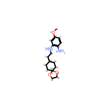 COc1ccc(N)c(NCCC2CCC3(CC2)OCCO3)c1